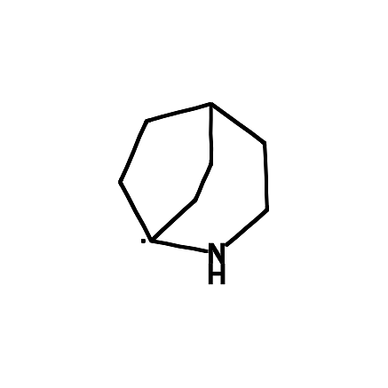 C1CC2CC[C](CC2)N1